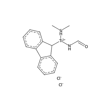 C[SiH](C)[Ti+2]([NH]C=O)[CH]1c2ccccc2-c2ccccc21.[Cl-].[Cl-]